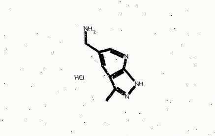 Cc1n[nH]c2ncc(CN)cc12.Cl